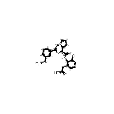 Cc1cccc(CC(=O)O)c1NC(=O)c1nc(-c2cccc(CN)c2)nn2cccc12